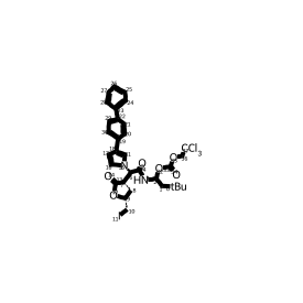 CC(C)(C)CC(NC(=O)[C@@H]([C@@H]1C[C@H](CI)OC1=O)n1ccc(-c2ccc(-c3ccccc3)cc2)c1)OC(=O)OCC(Cl)(Cl)Cl